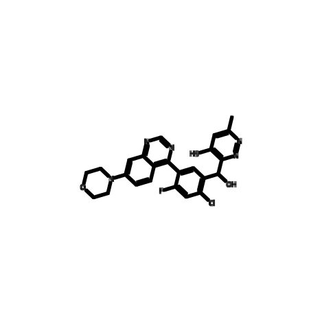 Cc1cc(S)c(C(O)c2cc(-c3ncnc4cc(N5CCOCC5)ccc34)c(F)cc2Cl)nn1